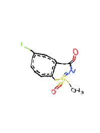 CS1(=O)=NC(=O)c2cc(F)ccc21